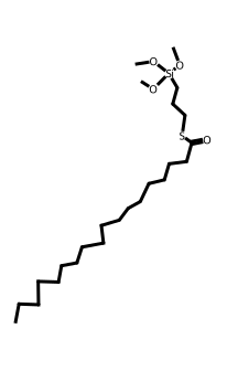 CCCCCCCCCCCCCCCCCC(=O)SCCC[Si](OC)(OC)OC